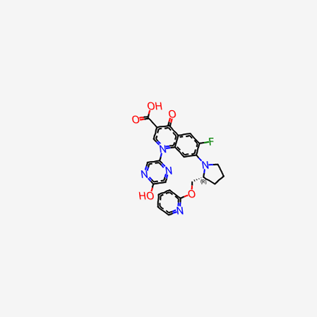 O=C(O)c1cn(-c2cnc(O)cn2)c2cc(N3CCC[C@@H]3COc3ccccn3)c(F)cc2c1=O